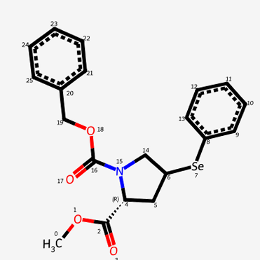 COC(=O)[C@H]1CC([Se]c2ccccc2)CN1C(=O)OCc1ccccc1